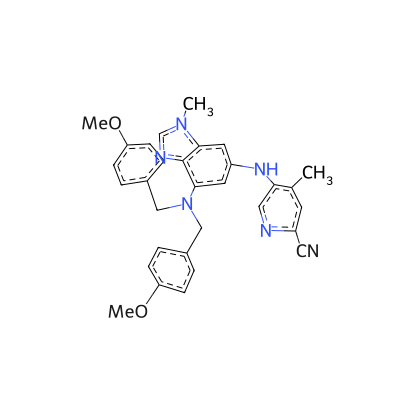 COc1ccc(CN(Cc2ccc(OC)cc2)c2cc(Nc3cnc(C#N)cc3C)cc3c2ncn3C)cc1